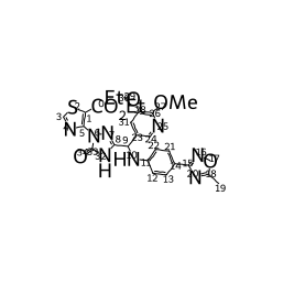 CCOC(=O)c1scnc1-n1nc(C(Nc2ccc(-c3noc(C)n3)cc2)c2cnc(OC)c(OCC)c2)[nH]c1=O